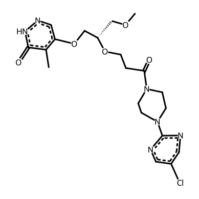 COC[C@@H](COc1cn[nH]c(=O)c1C)OCCC(=O)N1CCN(c2ncc(Cl)cn2)CC1